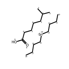 CC(C)CCCCC(=O)O.CCC[CH2][Sn][CH2]CCC